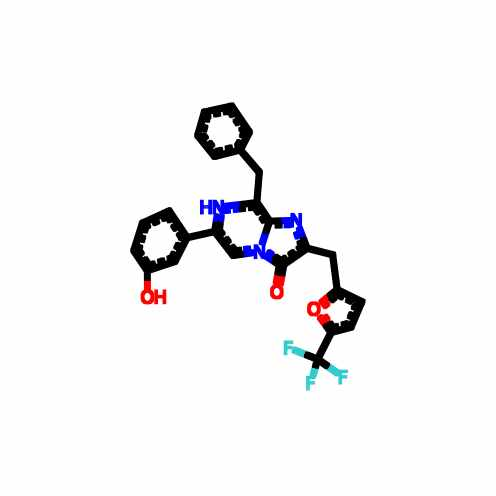 O=c1c(Cc2ccc(C(F)(F)F)o2)nc2c(Cc3ccccc3)[nH]c(-c3cccc(O)c3)cn1-2